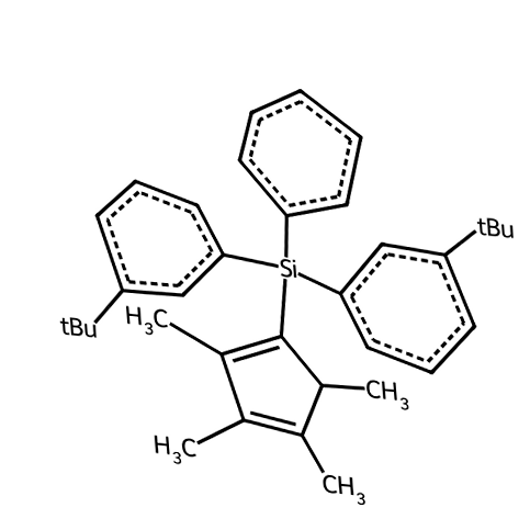 CC1=C(C)C(C)C([Si](c2ccccc2)(c2cccc(C(C)(C)C)c2)c2cccc(C(C)(C)C)c2)=C1C